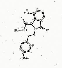 COc1ccc(CCN2C(=O)c3cccc(O)c3C2C(=O)NC(C)(C)C)cc1